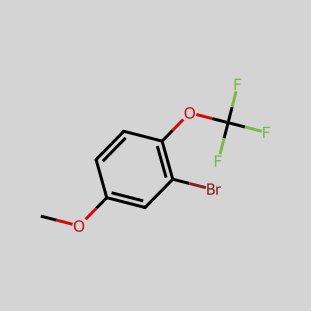 COc1ccc(OC(F)(F)F)c(Br)c1